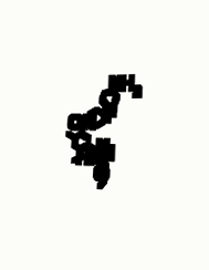 CCOCc1nnc(-c2cc(C(=O)N3CCC(F)(c4ccc(N)cc4)CC3)c(C)cc2CC)[nH]1